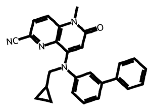 Cn1c(=O)cc(N(CC2CC2)c2cccc(-c3ccccc3)c2)c2nc(C#N)ccc21